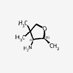 C[C@@H]1OCC(C)(C)[C@@H]1N